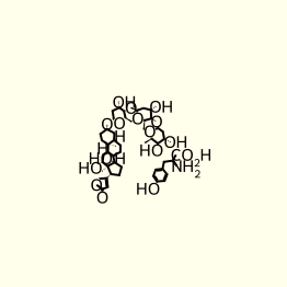 C[C@H]1O[C@@H](O[C@H]2[C@@H](O)C[C@H](O[C@H]3[C@@H](O)C[C@H](O[C@H]4CC[C@@]5(C)[C@H](CC[C@@H]6[C@@H]5C[C@@H](O)[C@]5(C)[C@@H](C7=CC(=O)OC7)CC[C@]65O)C4)O[C@@H]3C)O[C@@H]2C)C[C@H](O)[C@@H]1O.NC(Cc1ccc(O)cc1)C(=O)O